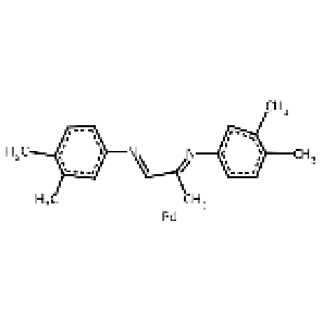 CC(C=Nc1ccc(C)c(C)c1)=Nc1ccc(C)c(C)c1.[Pd]